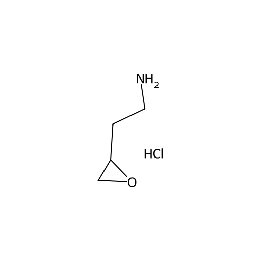 Cl.NCCC1CO1